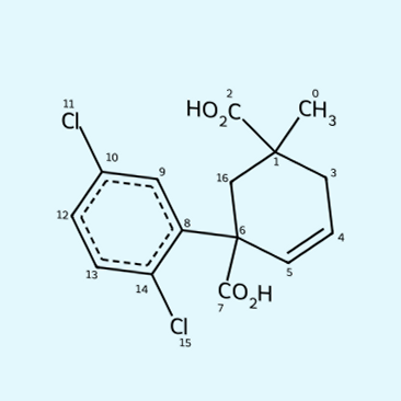 CC1(C(=O)O)CC=CC(C(=O)O)(c2cc(Cl)ccc2Cl)C1